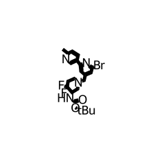 Cc1ccc(-c2cc(CN3CCC(F)(F)[C@H](NC(=O)OC(C)(C)C)C3)cc(Br)n2)cn1